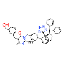 CCCc1nc(C)c(Cc2cccc(CO)c2)c(=O)n1Cc1ccc(-c2ccccc2-c2nnnn2C(c2ccccc2)(c2ccccc2)c2ccccc2)cc1